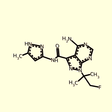 Cc1cc(NC(=O)c2nn(C(C)(C)CF)c3ncnc(N)c23)n[nH]1